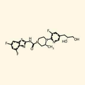 C[C@H]1CN(C(=O)Nc2nc3c(F)cc(F)cc3s2)CCN1c1ncc(C[C@@H](O)CO)cc1F